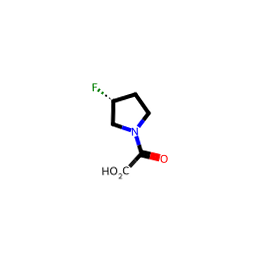 O=C(O)C(=O)N1CC[C@@H](F)C1